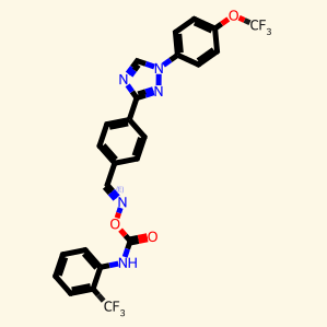 O=C(Nc1ccccc1C(F)(F)F)O/N=C/c1ccc(-c2ncn(-c3ccc(OC(F)(F)F)cc3)n2)cc1